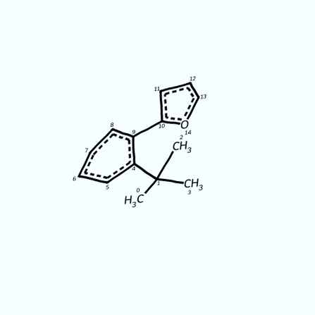 CC(C)(C)c1ccccc1-c1ccco1